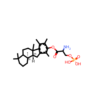 Cc1c(C)c2c(c(C)c1OC(=O)C(N)COP(=O)(O)O)C[C@H]1C2(C)CCC2C(C)(C)CCC[C@@]21C